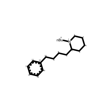 [CH2]CCCN1CCCCC1CCCCc1ccccc1